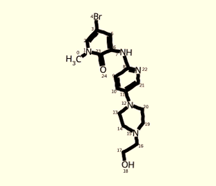 Cn1cc(Br)cc(Nc2ccc(N3CCN(CCO)CC3)cn2)c1=O